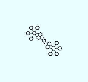 c1ccc(C2=C3C(=C(c4ccccc4)C(c4ccccc4)C2c2ccccc2)c2ccc(-c4cnc(-c5ccc6c7c(cccc57)-c5c(-c7ccccc7)c(-c7ccccc7)c(-c7ccccc7)c(-c7ccccc7)c5-6)cn4)c4cccc3c24)cc1